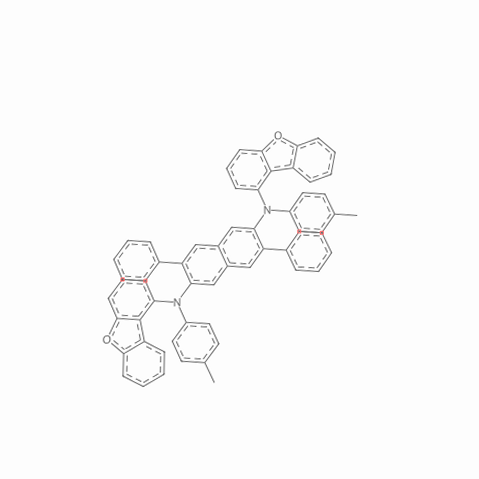 Cc1ccc(N(c2cc3cc(-c4ccccc4)c(N(c4ccc(C)cc4)c4cccc5oc6ccccc6c45)cc3cc2-c2ccccc2)c2cccc3oc4ccccc4c23)cc1